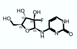 O=c1nc(N[C@H]2O[C@@H](CO)[C@H](O)[C@]2(O)F)cc[nH]1